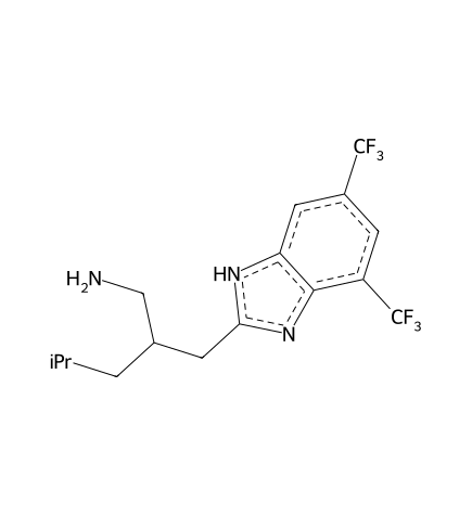 CC(C)CC(CN)Cc1nc2c(C(F)(F)F)cc(C(F)(F)F)cc2[nH]1